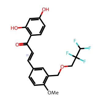 COc1ccc(/C=C/C(=O)c2ccc(O)cc2O)cc1COCC(F)(F)C(F)F